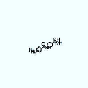 [N-]=[N+]=Nc1ccc(C(=O)Nc2ccc(B(O)O)cc2)cc1